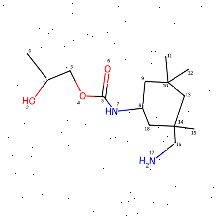 CC(O)COC(=O)NC1CC(C)(C)CC(C)(CN)C1